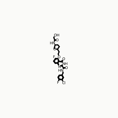 O=C(CO)NC1CCC(CCOc2c(F)ccc3nc(C(=O)NCc4ccc(F)c(Cl)c4)[nH]c(=O)c23)OC1